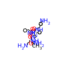 C[C@H](N)C(=O)N[C@@H](CCCCN)C(=O)N1CCC[C@H]1C(=O)N(C(=O)[C@H](N)CC1CCCCC1)[C@@H](Cc1ccccc1)C(=O)NCCc1ccc(N)cc1